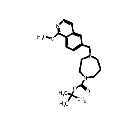 COc1nccc2cc(CN3CCCN(C(=O)OC(C)(C)C)CC3)ccc12